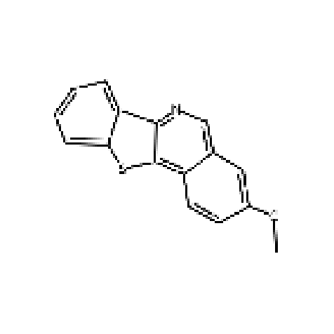 COc1ccc2c(cnc3c4ccccc4sc23)c1